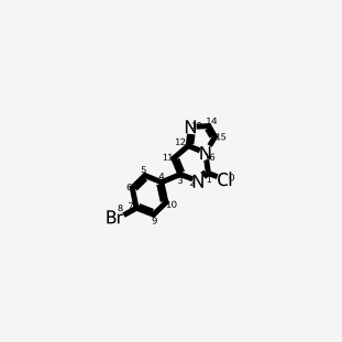 Clc1nc(-c2ccc(Br)cc2)cc2nccn12